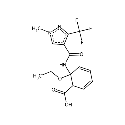 CCOC1(NC(=O)c2cn(C)nc2C(F)(F)F)C=CC=CC1C(=O)O